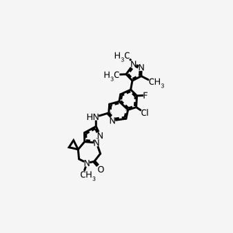 Cc1nn(C)c(C)c1-c1cc2cc(Nc3cc4n(n3)CC(=O)N(C)CC43CC3)ncc2c(Cl)c1F